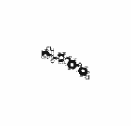 O=C(Nc1nocc1Cl)N1CCN(Cc2cccc(Oc3ccc(Cl)cc3)c2)CC1